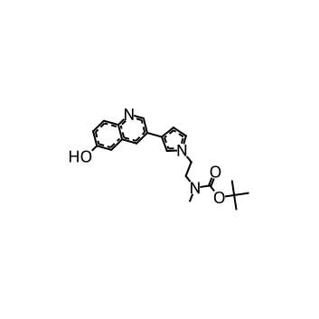 CN(CCn1ccc(-c2cnc3ccc(O)cc3c2)c1)C(=O)OC(C)(C)C